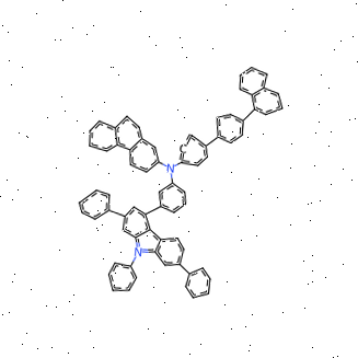 c1ccc(-c2ccc3c4c(-c5cccc(N(c6ccc(-c7ccc(-c8cccc9ccccc89)cc7)cc6)c6ccc7c(ccc8ccccc87)c6)c5)cc(-c5ccccc5)cc4n(-c4ccccc4)c3c2)cc1